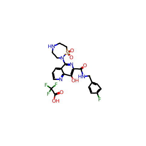 O=C(NCc1ccc(F)cc1)c1nc(N2CCNCCS2(=O)=O)c2cccnc2c1O.O=C(O)C(F)(F)F